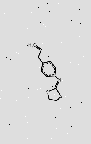 C=CCc1ccc(N=C2SCCS2)cc1